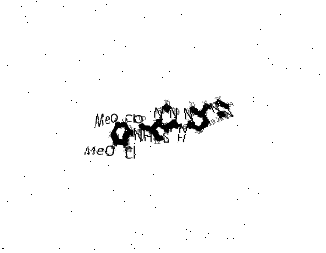 COc1cc(OC)c(Cl)c(NC(=O)c2csc3c(Nc4ccc(Cn5ccnc5)cn4)ncnc23)c1Cl